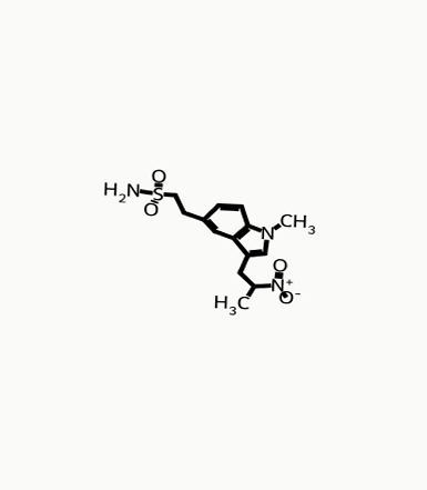 CC(Cc1cn(C)c2ccc(CCS(N)(=O)=O)cc12)[N+](=O)[O-]